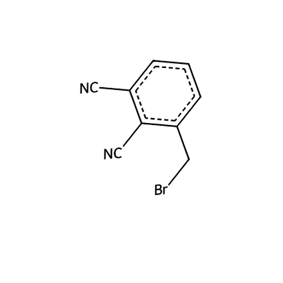 N#Cc1cccc(CBr)c1C#N